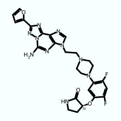 Nc1nc2c(ncn2CCN2CCN(c3cc(O[C@H]4CCNC4=O)c(F)cc3F)CC2)c2nc(-c3ccco3)nn12